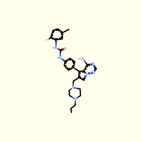 CCCN1CCN(Cc2cn3ncnc(N)c3c2-c2ccc(NC(=O)Nc3cc(C)ccc3F)cc2)CC1